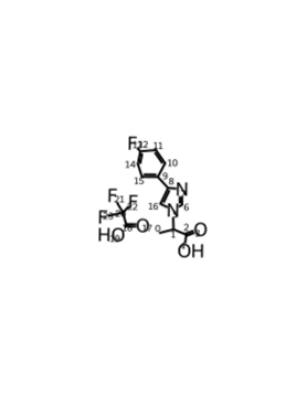 CC(C(=O)O)n1cnc(-c2ccc(F)cc2)c1.O=C(O)C(F)(F)F